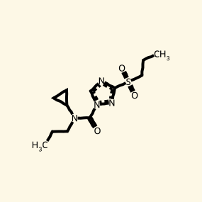 CCCN(C(=O)n1cnc(S(=O)(=O)CCC)n1)C1CC1